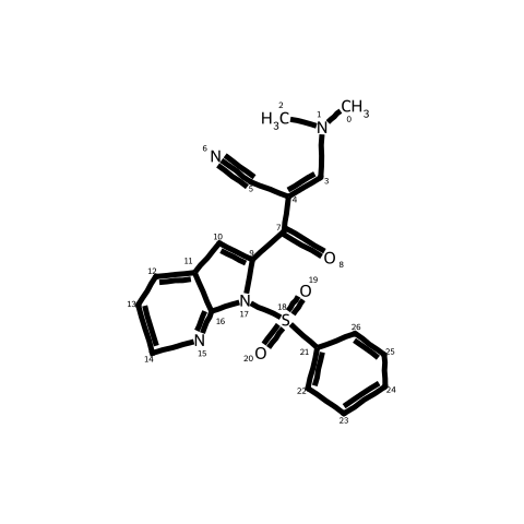 CN(C)C=C(C#N)C(=O)c1cc2cccnc2n1S(=O)(=O)c1ccccc1